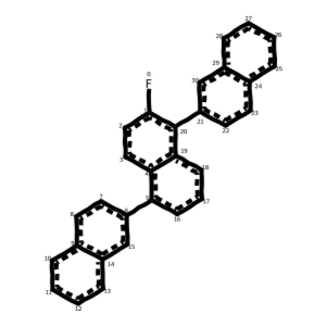 Fc1ccc2c(-c3ccc4ccccc4c3)cccc2c1-c1ccc2ccccc2c1